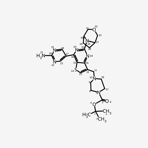 CC(C)(C)OC(=O)N1CCN(Cc2csc3c(-c4cnc(N)nc4)nc(N4C5CCC4COC5)nc23)CC1